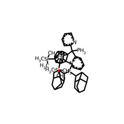 C[Si](C)(C)[C]12[CH]3[C]4(C(P)(c5ccccn5)c5ccccn5)[C]5(CP(C6C7CC8CC(C7)CC6C8)C6C7CC8CC(C7)CC6C8)[C]1([Si](C)(C)C)[Fe]35421678[CH]2[CH]1[CH]6[CH]7[CH]28